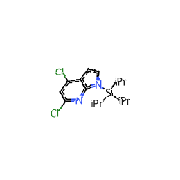 CC(C)[Si](C(C)C)(C(C)C)n1ccc2c(Cl)cc(Cl)nc21